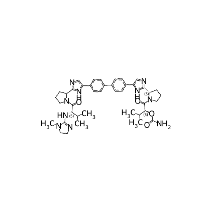 CC(C)[C@H](NC1=NCCN1C)C(=O)N1CCCC1c1ncc(-c2ccc(-c3ccc(-c4cnc([C@@H]5CCCN5C(=O)[C@@H](OC(N)=O)C(C)C)[nH]4)cc3)cc2)[nH]1